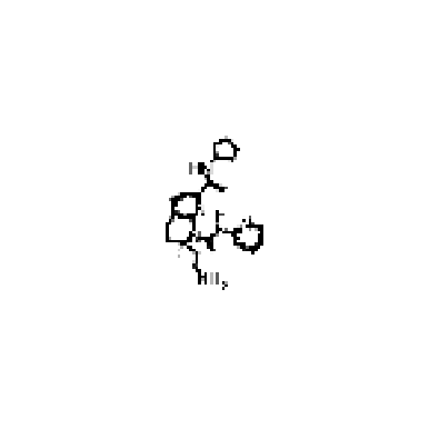 C=C(NC1CCCC1)c1ccc2c(n1)N(C(=C)Nc1ccccn1)[C@@](C)(CCN)CC2